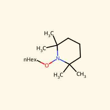 CCCCCCON1C(C)(C)CCCC1(C)C